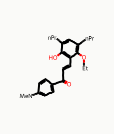 CCCc1cc(CCC)c(OCC)c(C=CC(=O)c2ccc(NC)cc2)c1O